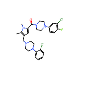 Cc1c(CN2CCN(c3ccccc3Cl)CC2)cc(C(=O)N2CCN(c3ccc(F)c(Cl)c3)CC2)n1C